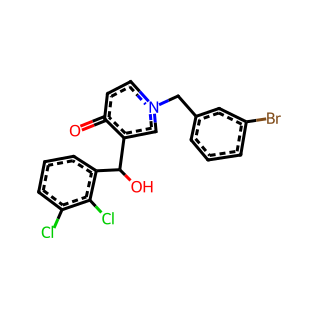 O=c1ccn(Cc2cccc(Br)c2)cc1C(O)c1cccc(Cl)c1Cl